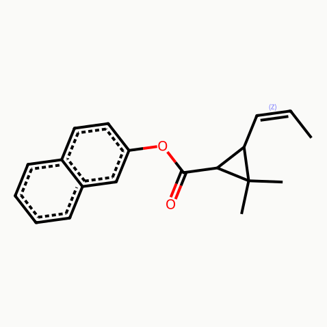 C/C=C\C1C(C(=O)Oc2ccc3ccccc3c2)C1(C)C